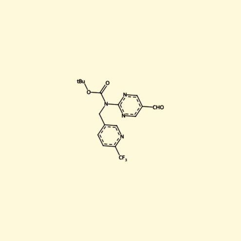 CC(C)(C)OC(=O)N(Cc1ccc(C(F)(F)F)nc1)c1ncc(C=O)cn1